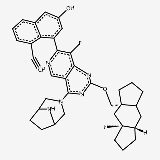 C#Cc1cccc2cc(O)cc(-c3ncc4c(N5CC6CCC(C5)N6)nc(OC[C@]56CCCC5C[C@@H]5CCC[C@]5(F)C6)nc4c3F)c12